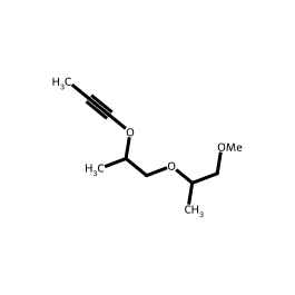 CC#COC(C)COC(C)COC